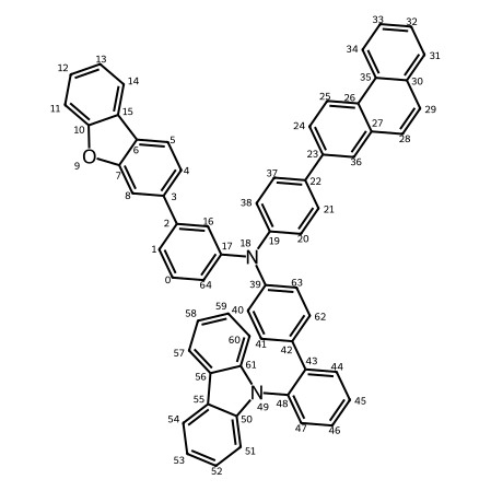 c1cc(-c2ccc3c(c2)oc2ccccc23)cc(N(c2ccc(-c3ccc4c(ccc5ccccc54)c3)cc2)c2ccc(-c3ccccc3-n3c4ccccc4c4ccccc43)cc2)c1